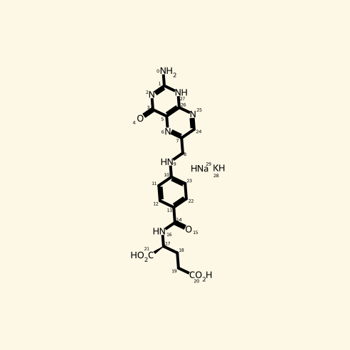 Nc1nc(=O)c2nc(CNc3ccc(C(=O)N[C@@H](CCC(=O)O)C(=O)O)cc3)cnc2[nH]1.[KH].[NaH]